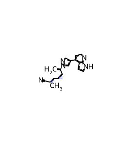 C=C(/C=C\C=C(/C)C#N)n1cc(-c2ccnc3[nH]ccc23)cn1